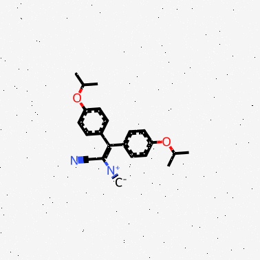 [C-]#[N+]C(C#N)=C(c1ccc(OC(C)C)cc1)c1ccc(OC(C)C)cc1